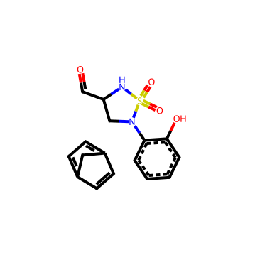 C1=CC2=CC=C1C2.O=CC1CN(c2ccccc2O)S(=O)(=O)N1